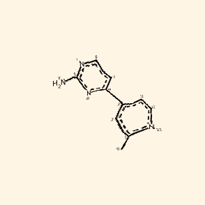 Cc1cc(-c2ccnc(N)n2)ccn1